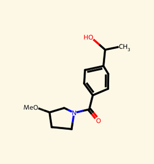 COC1CCN(C(=O)c2ccc(C(C)O)cc2)C1